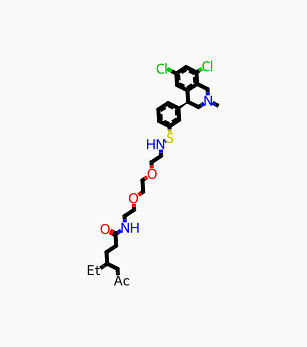 CCC(CCC(=O)NCCOCCOCCNSc1cccc([C@@H]2CN(C)Cc3c(Cl)cc(Cl)cc32)c1)CC(C)=O